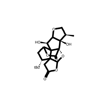 C[C@@H]1COC2[C@H](O)C34C5C[C@@H](C(C)(C)C)C36CC(=O)OC6O[C@@]4(C(=O)O5)[C@]21O